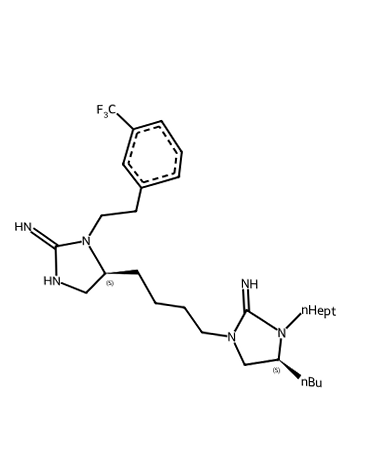 CCCCCCCN1C(=N)N(CCCC[C@H]2CNC(=N)N2CCc2cccc(C(F)(F)F)c2)C[C@@H]1CCCC